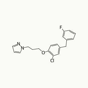 Fc1cccc(Cc2ccc(OCCCn3cccn3)c(Cl)c2)c1